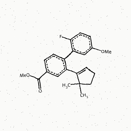 COC(=O)c1ccc(-c2cc(OC)ccc2F)c(C2=CCCC2(C)C)c1